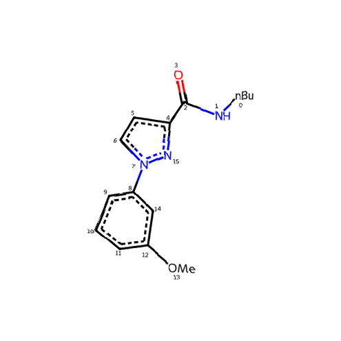 CCCCNC(=O)c1ccn(-c2cccc(OC)c2)n1